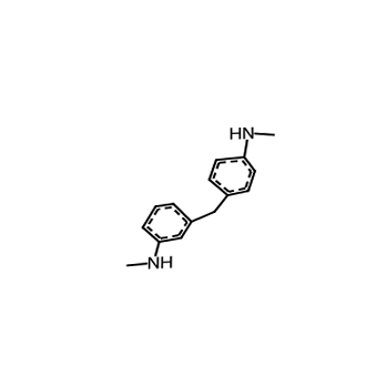 CNc1ccc(Cc2cccc(NC)c2)cc1